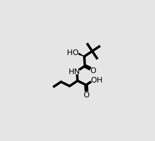 CCCC(NC(=O)[C@@H](O)C(C)(C)C)C(=O)O